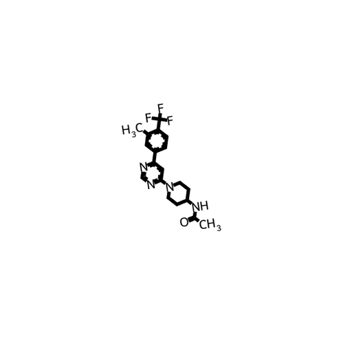 CC(=O)NC1CCN(c2cc(-c3ccc(C(F)(F)F)c(C)c3)ncn2)CC1